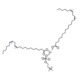 CCCCC/C=C\C/C=C\CCCCCCCCCCCC(=O)OC[C@H](COP(=O)([O-])OCC[N+](C)(C)C)OC(=O)CCCCCCCCC/C=C\C/C=C\CCCCC